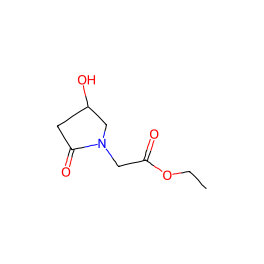 CCOC(=O)CN1CC(O)CC1=O